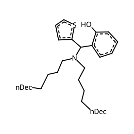 CCCCCCCCCCCCCCN(CCCCCCCCCCCCCC)C(c1cccs1)c1ccccc1O